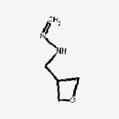 C=NNCC1COC1